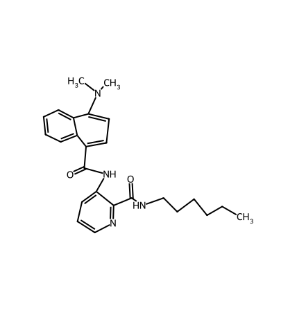 CCCCCCNC(=O)c1ncccc1NC(=O)c1ccc(N(C)C)c2ccccc12